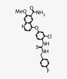 COc1cc2nccc(Oc3ccc(NC(=S)NCc4ccc(F)cc4)c(Cl)c3)c2cc1C(N)=O